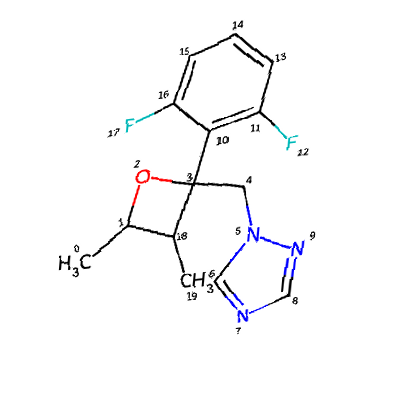 CC1OC(Cn2cncn2)(c2c(F)cccc2F)C1C